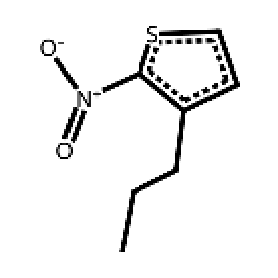 CCCc1ccsc1[N+](=O)[O-]